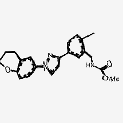 COC(=O)NCc1cc(-c2ccn(-c3ccc4c(c3)CCCO4)n2)ccc1C